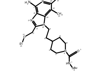 CCCCNC(=O)N1CCC(CCn2c(COCC)nc3c(N)nc(C)c(C)c32)CC1